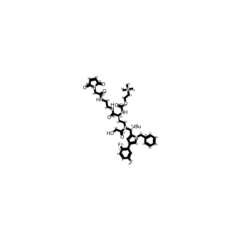 CC(C)(C)[C@H](c1cc(-c2cc(F)ccc2F)cn1Cc1ccccc1)N(CC[C@H](NC(=O)OCCS(C)(C)C)C(=O)NCCNC(=O)CN1C(=O)C=CC1=O)C(=O)CO